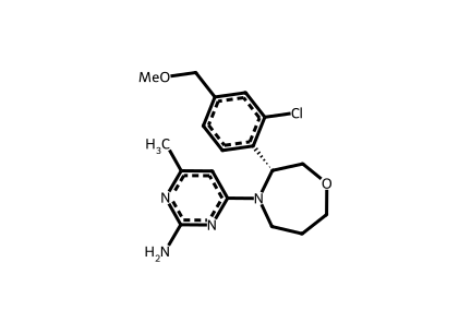 COCc1ccc([C@@H]2COCCCN2c2cc(C)nc(N)n2)c(Cl)c1